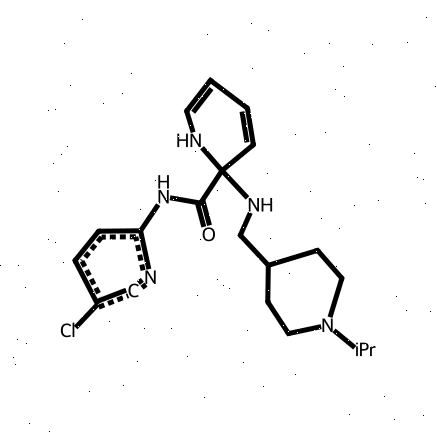 CC(C)N1CCC(CNC2(C(=O)Nc3ccc(Cl)cn3)C=CC=CN2)CC1